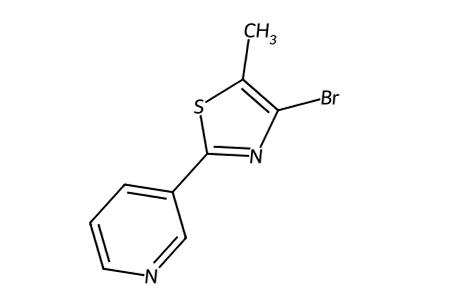 Cc1sc(-c2cccnc2)nc1Br